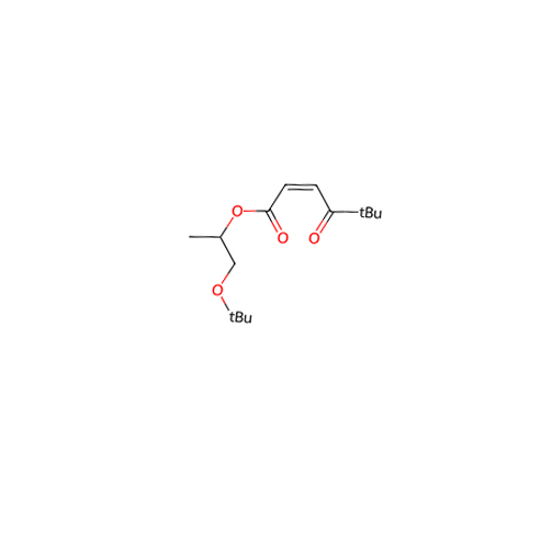 CC(COC(C)(C)C)OC(=O)/C=C\C(=O)C(C)(C)C